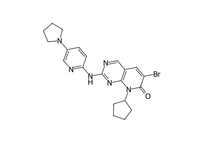 O=c1c(Br)cc2cnc(Nc3ccc(N4CCCC4)cn3)nc2n1C1CCCC1